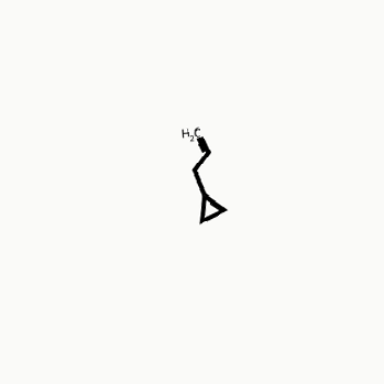 C=CCC1CC1